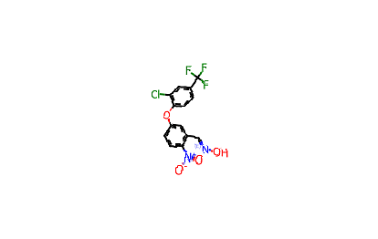 O=[N+]([O-])c1ccc(Oc2ccc(C(F)(F)F)cc2Cl)cc1/C=N/O